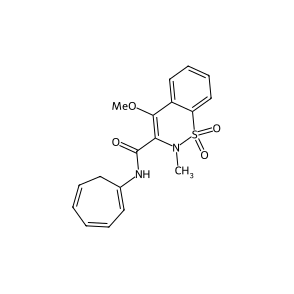 COC1=C(C(=O)NC2=CC=CC=CC2)N(C)S(=O)(=O)c2ccccc21